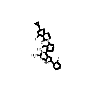 Nc1nc(-c2cccc(-n3ccc4cc(C5CC5)cc(F)c4c3=O)c2CO)c2cc(-c3ccccc3F)[nH]c2n1